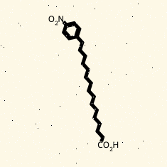 O=C(O)CCCCCCCCCCCCCCCc1ccc([N+](=O)[O-])cc1